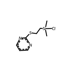 C[Si](C)(Cl)CCSc1ncccn1